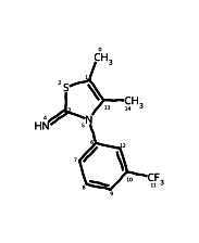 Cc1sc(=N)n(-c2cccc(C(F)(F)F)c2)c1C